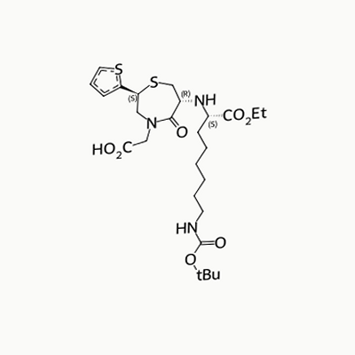 CCOC(=O)[C@H](CCCCCCNC(=O)OC(C)(C)C)N[C@H]1CS[C@H](c2cccs2)CN(CC(=O)O)C1=O